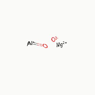 [Mg+2].[O-2].[O]=[Al+]